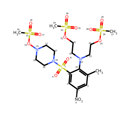 Cc1cc([N+](=O)[O-])cc(S(=O)(=O)N2CCN(OS(C)(=O)=O)CC2)c1N(CCOS(C)(=O)=O)CCOS(C)(=O)=O